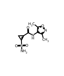 Cc1noc(C)c1NC(=O)C1=C(S(N)(=O)=O)C1